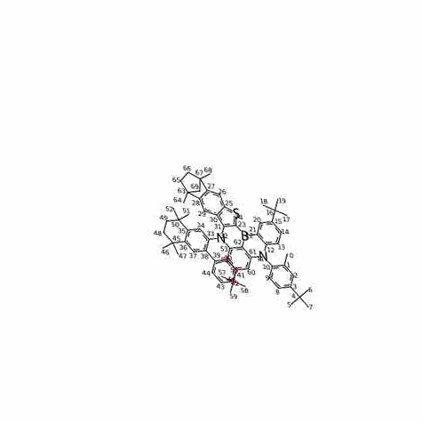 Cc1cc(C(C)(C)C)ccc1N1c2ccc(C(C)(C)C)cc2B2c3sc4cc5c(cc4c3N(c3cc4c(cc3-c3ccccc3)C(C)(C)CCC4(C)C)c3cc(C(C)(C)C)cc1c32)C1(C)CCC5(C)C1